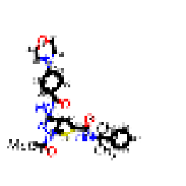 COC(=O)n1nc(NC(=O)c2ccc(N3CCOCC3)cc2)c2cc(C(=O)NC(C)(C)c3ccccc3)sc21